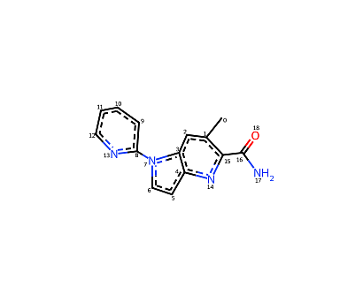 Cc1cc2c(ccn2-c2ccccn2)nc1C(N)=O